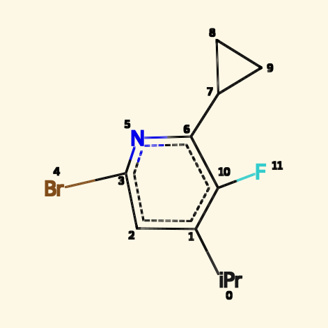 CC(C)c1cc(Br)nc(C2CC2)c1F